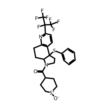 O=C(C1CC[S+]([O-])CC1)N1CCC2(Sc3ccccc3)c3ccc(C(F)(C(F)(F)F)C(F)(F)F)nc3CCC12